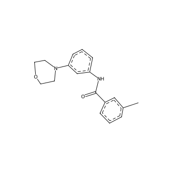 Cc1cccc(C(=O)Nc2cccc(N3CCOCC3)c2)c1